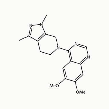 COc1cc2ncnc(N3CCc4c(C)nn(C)c4C3)c2cc1OC